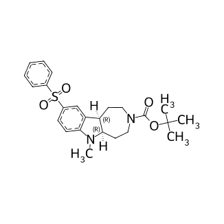 CN1c2ccc(S(=O)(=O)c3ccccc3)cc2[C@H]2CCN(C(=O)OC(C)(C)C)CC[C@H]21